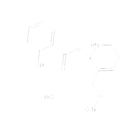 CC1(OC(=O)c2ccccc2O)NC=CC=C1CO[N+](=O)[O-].Cl